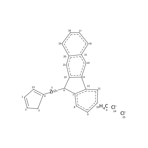 C.C1=CC[C]([Zr+2][CH]2c3ccccc3-c3cc4ccccc4cc32)=C1.[Cl-].[Cl-]